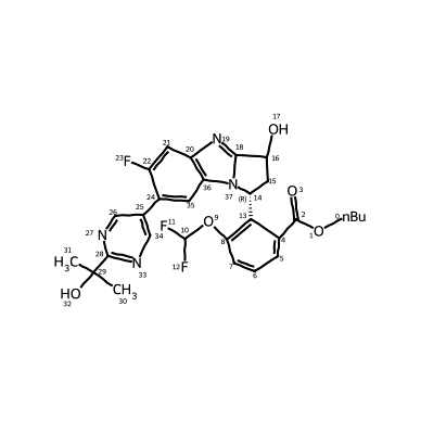 CCCCOC(=O)c1cccc(OC(F)F)c1[C@H]1CC(O)c2nc3cc(F)c(-c4cnc(C(C)(C)O)nc4)cc3n21